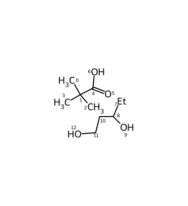 CC(C)(C)C(=O)O.CCC(O)CCO